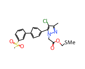 CSCOC(=O)Cn1nc(C)c(Cl)c1-c1ccc(-c2cccc(S(C)(=O)=O)c2)cc1